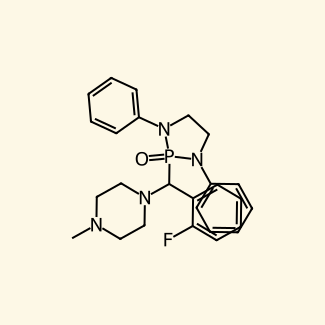 CN1CCN(C(c2ccccc2F)P2(=O)N(c3ccccc3)CCN2c2ccccc2)CC1